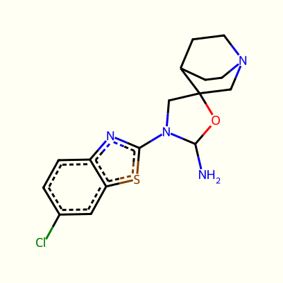 NC1OC2(CN3CCC2CC3)CN1c1nc2ccc(Cl)cc2s1